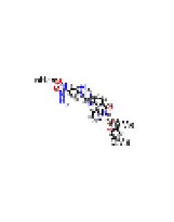 CCCCCCOC(=O)/N=C(\N)c1ccc(NCc2nc3cc(C(=O)N(CCC(=O)Oc4cc(OC)ccc4OC)c4ccccn4)ccc3n2C)cc1